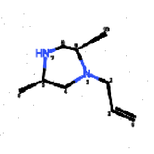 C=CCN1C[C@@H](C)NC[C@H]1C